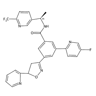 C[C@@H](NC(=O)c1cc(C2=NOC(c3ccccn3)C2)cc(-c2ccc(F)cn2)c1)c1ccc(C(F)(F)F)nc1